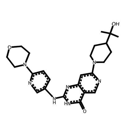 CC(C)(O)C1CCN(c2cc3nc(Nc4ccc(N5CCOCC5)nc4)[nH]c(=O)c3cn2)CC1